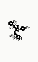 CCCC(Cc1cn(-c2ccc(C(C)C)cc2)c2cnc(-c3c(CC)cccc3CC)cc12)CC1(NC(=O)O)CCCC1